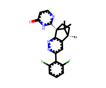 CC1(C)[C@H]2CC[C@]1(c1nccc(=O)[nH]1)c1nnc(-c3c(F)cccc3F)cc12